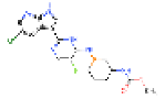 COC(=O)NC1CCCP(NC2NC(c3c[nH]c4ncc(Cl)cc34)=NC=C2F)C1